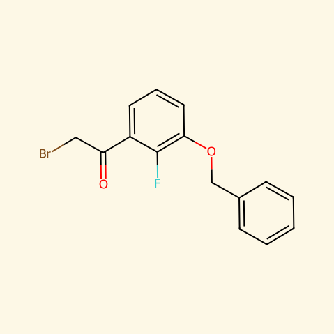 O=C(CBr)c1cccc(OCc2ccccc2)c1F